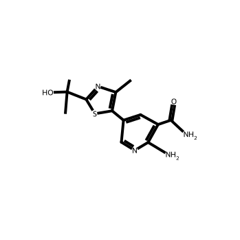 Cc1nc(C(C)(C)O)sc1-c1cnc(N)c(C(N)=O)c1